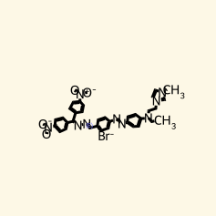 CCN(CC[n+]1ccn(C)c1)c1ccc(N=Nc2ccc(/C=N/N=C(c3ccc([N+](=O)[O-])cc3)c3ccc([N+](=O)[O-])cc3)cc2)cc1.[Br-]